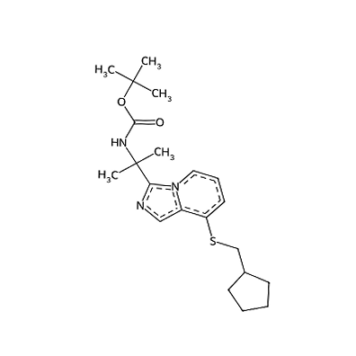 CC(C)(C)OC(=O)NC(C)(C)c1ncc2c(SCC3CCCC3)cccn12